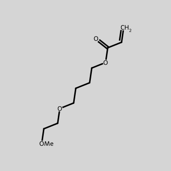 C=CC(=O)OCCCCOCCOC